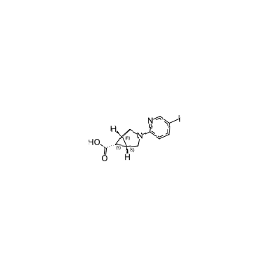 O=C(O)[C@@H]1[C@@H]2CN(c3ccc(I)cn3)C[C@@H]21